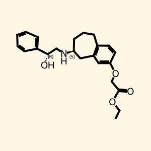 CCOC(=O)COc1ccc2c(c1)C[C@@H](NC[C@H](O)c1ccccc1)CCC2